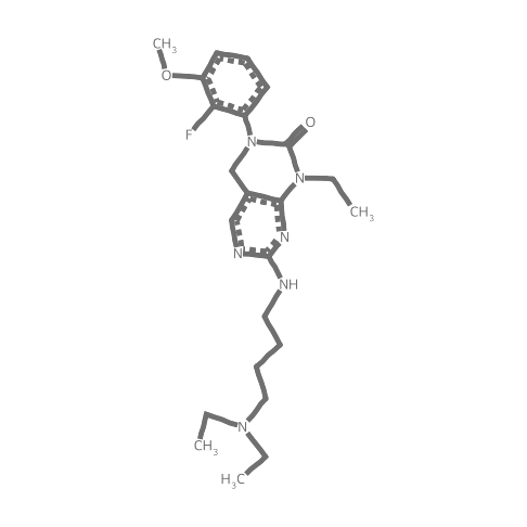 CCN(CC)CCCCNc1ncc2c(n1)N(CC)C(=O)N(c1cccc(OC)c1F)C2